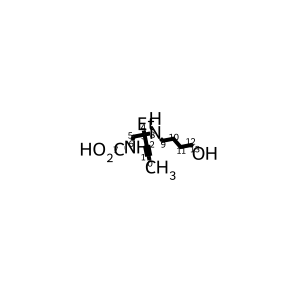 CC#CC(CC)(CNC(=O)O)NCCCCO